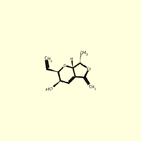 C=C[C@H]1O[C@H]2C(=C[C@H]1O)C(=C)O[C@H]2C